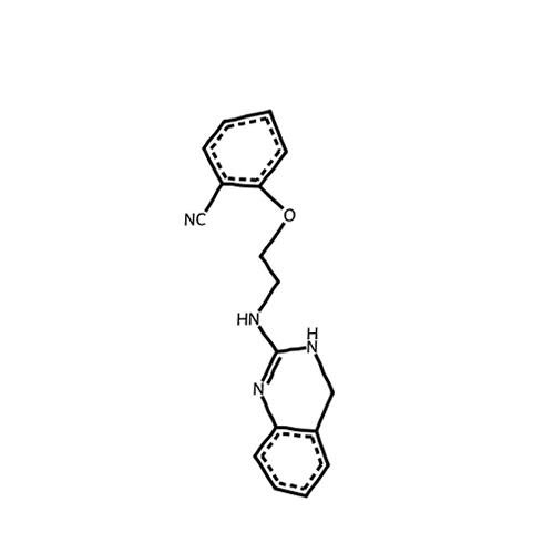 N#Cc1ccccc1OCCNC1=Nc2ccccc2CN1